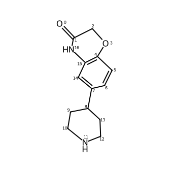 O=C1COc2ccc(C3CCNCC3)cc2N1